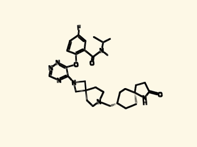 CC(C)N(C)C(=O)c1cc(F)ccc1Oc1nncnc1N1CC2(CCN(C[C@H]3CC[C@@]4(CCC(=O)N4)CC3)CC2)C1